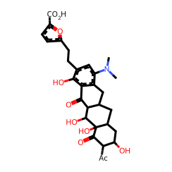 CC(=O)C1C(=O)C2(O)C(CC1O)CC1Cc3c(N(C)C)cc(CCc4ccc(C(=O)O)o4)c(O)c3C(=O)C1C2O